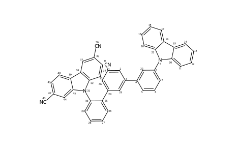 N#Cc1cc(-c2cccc(-n3c4ccccc4c4ccccc43)c2)cc(-c2ccccc2-n2c3ccc(C#N)cc3c3ccc(C#N)cc32)c1